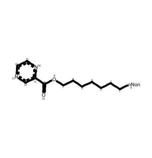 CCCCCCCCCCCCCCCCOC(=O)c1cnccn1